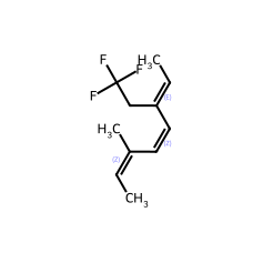 C\C=C(C)/C=C\C(=C\C)CC(F)(F)F